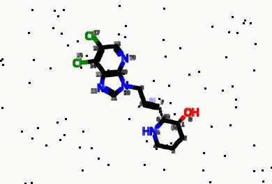 O[C@H]1CCCN[C@@H]1/C=C/Cn1cnc2c(Cl)c(Cl)cnc21